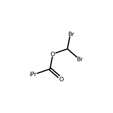 CC(C)C(=O)OC(Br)Br